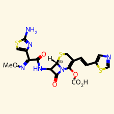 CON=C(C(=O)NC1C(=O)N2C(OC(=O)O)=C(C=Cc3cncs3)CS[C@@H]12)c1csc(N)n1